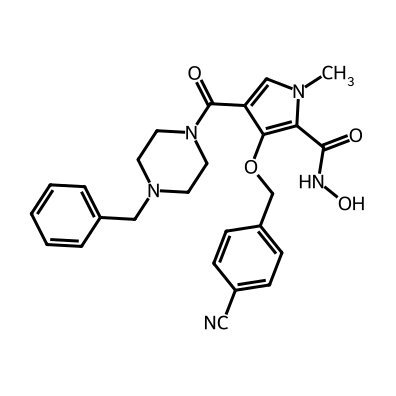 Cn1cc(C(=O)N2CCN(Cc3ccccc3)CC2)c(OCc2ccc(C#N)cc2)c1C(=O)NO